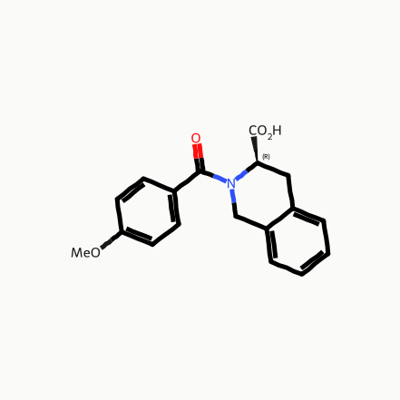 COc1ccc(C(=O)N2Cc3ccccc3C[C@@H]2C(=O)O)cc1